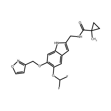 CC1(C(=O)NCc2cc3cc(OC(F)F)c(OCc4ccon4)cc3[nH]2)CC1